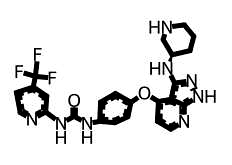 O=C(Nc1ccc(Oc2ccnc3[nH]nc(N[C@@H]4CCCNC4)c23)cc1)Nc1cc(C(F)(F)F)ccn1